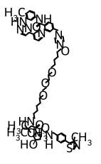 Cc1ccc(NC(=O)c2ccc(CN3CCN(C(=O)CCCCCOCCOCCOCCCCCCNC(C(=O)N4C[C@H](O)C[C@H]4C(=O)NCc4ccc(-c5scnc5C)cc4)C(C)(C)C)CC3)cc2)cc1Nc1nccc(-c2cccnc2)n1